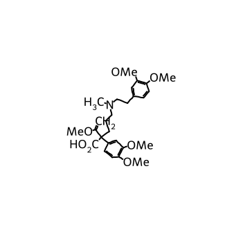 C=C(OC)C(CCCN(C)CCc1ccc(OC)c(OC)c1)(C(=O)O)c1ccc(OC)c(OC)c1